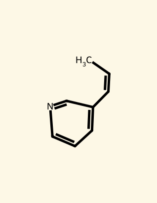 C/C=C\c1cccnc1